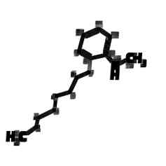 CCCCCCCCc1ccccc1NC